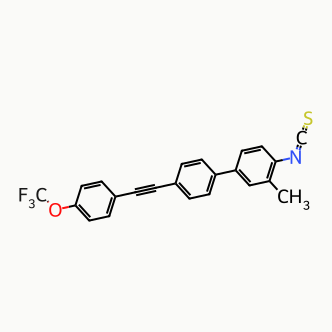 Cc1cc(-c2ccc(C#Cc3ccc(OC(F)(F)F)cc3)cc2)ccc1N=C=S